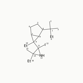 CCC(C)(C)C1CCC2C1C2(CC)C1(I)NC1(C)CC